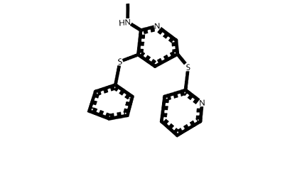 CNc1ncc(Sc2ccccn2)cc1Sc1ccccc1